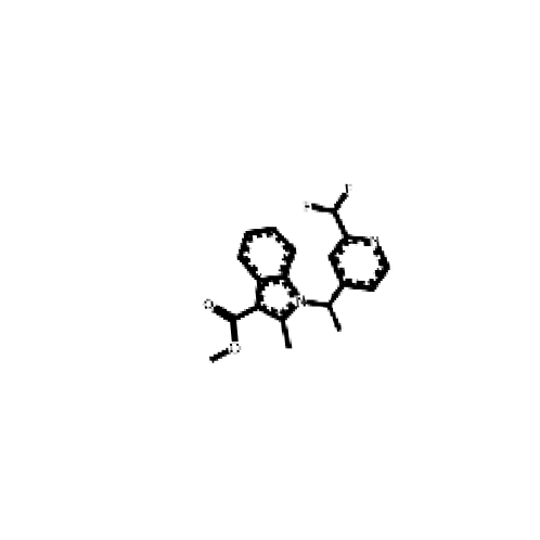 COC(=O)c1c(C)n(C(C)c2ccnc(C(F)F)c2)c2ccccc12